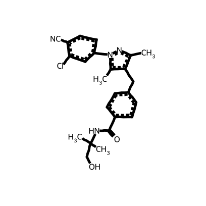 Cc1nn(-c2ccc(C#N)c(Cl)c2)c(C)c1Cc1ccc(C(=O)NC(C)(C)CO)cc1